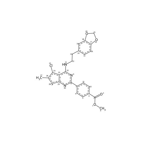 COC(=O)c1ccc(-c2nc(NCCc3ccc4c(c3)OCO4)c3c(Cl)c(C)sc3n2)cc1